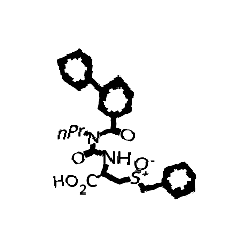 CCCN(C(=O)N[C@@H](C[S+]([O-])Cc1ccccc1)C(=O)O)C(=O)c1cccc(-c2ccccc2)c1